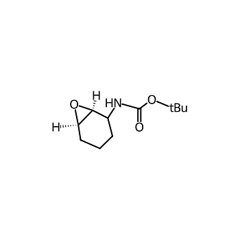 CC(C)(C)OC(=O)NC1CCC[C@H]2O[C@@H]12